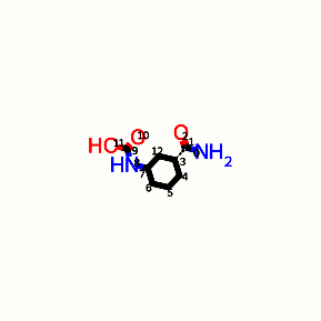 NC(=O)[C@@H]1CCCC(NC(=O)O)C1